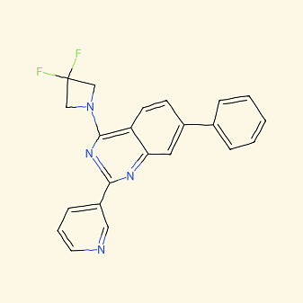 FC1(F)CN(c2nc(-c3cccnc3)nc3cc(-c4ccccc4)ccc23)C1